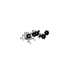 CO[C@@H]1[C@@H](O)[C@H](O)[C@H](Oc2ccc3cc(NC(=O)c4cccc(-c5ccccc5)c4)c(=O)oc3c2C)OC1(C)C